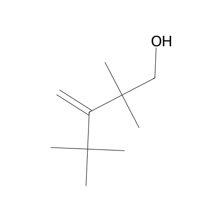 C=C(C(C)(C)C)C(C)(C)CO